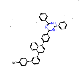 N#Cc1ccc(-c2cccc(-c3ccc(-c4ccc(C(/N=C(\N)c5ccccc5)NCc5ccccc5)cc4)c4ccccc34)c2)cc1